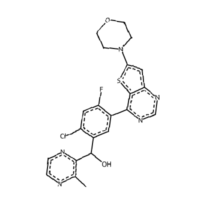 Cc1nccnc1C(O)c1cc(-c2ncnc3cc(N4CCOCC4)sc23)c(F)cc1Cl